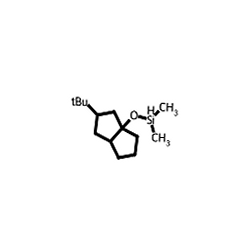 C[SiH](C)OC12CCCC1CC(C(C)(C)C)C2